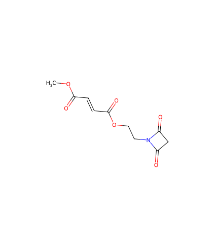 COC(=O)/C=C/C(=O)OCCN1C(=O)CC1=O